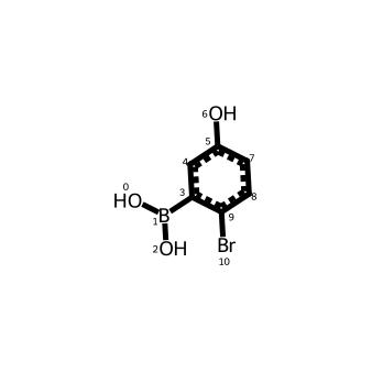 OB(O)c1cc(O)ccc1Br